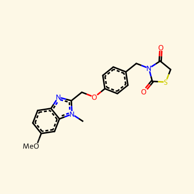 COc1ccc2nc(COc3ccc(CN4C(=O)CSC4=O)cc3)n(C)c2c1